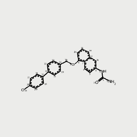 NC(=O)Nc1ccc2c(OCc3ccc(-c4ccc(Cl)cc4)cc3)cccc2c1